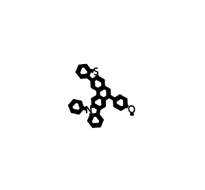 COc1ccc(-c2cc3cc4sc5ccccc5c4cc3c3cc4c(cc23)c2ccccc2n4-c2ccccc2)cc1